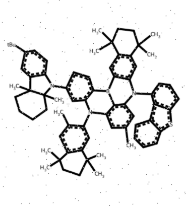 Cc1cc2c3c(c1)N(c1cccc4sc5ccccc5c14)c1cc4c(cc1B3c1ccc(N3c5ccc(C(C)(C)C)cc5C5(C)CCCCC35C)cc1N2c1cc2c(cc1C)C(C)(C)CCC2(C)C)C(C)(C)CCC4(C)C